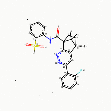 CC1(C)[C@@H]2CCC1(C(=O)Nc1ccccc1S(C)(=O)=O)c1nnc(-c3ccccc3F)cc12